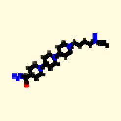 CNCCCCN1CCC(N2CCC(N3CCC(C(N)=O)CC3)CC2)CC1